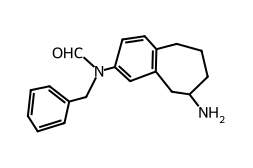 NC1CCCc2ccc(N(C=O)Cc3ccccc3)cc2C1